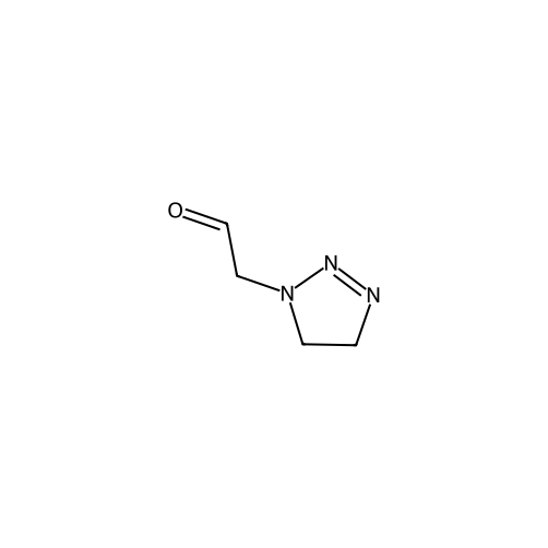 O=CCN1CCN=N1